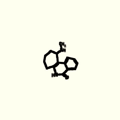 CNC1CCCCc2[nH]c(=O)c3ccccc3c21